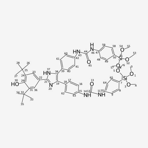 CO[Si](OC)(OC)c1ccc(NC(=O)Nc2ccc(-c3nc(-c4cc(C(C)(C)C)c(O)c(C(C)(C)C)c4)[nH]c3-c3ccc(NC(=O)Nc4ccc([Si](OC)(OC)OC)cc4)cc3)cc2)cc1